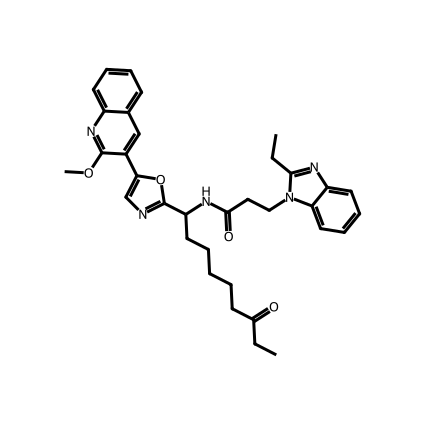 CCC(=O)CCCCCC(NC(=O)CCn1c(CC)nc2ccccc21)c1ncc(-c2cc3ccccc3nc2OC)o1